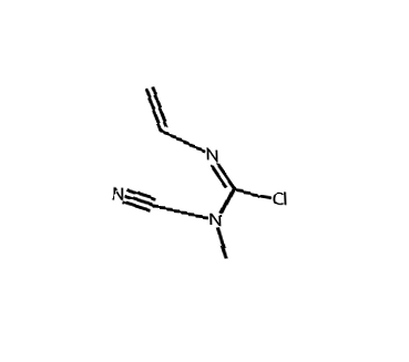 C=C/N=C(/Cl)N(C)C#N